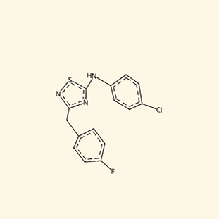 Fc1ccc(Cc2nsc(Nc3ccc(Cl)cc3)n2)cc1